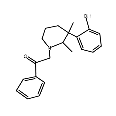 CC1N(CC(=O)c2ccccc2)CCCC1(C)c1ccccc1O